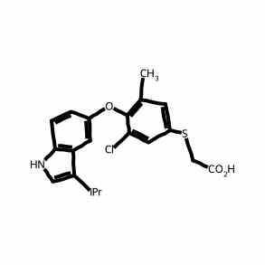 Cc1cc(SCC(=O)O)cc(Cl)c1Oc1ccc2[nH]cc(C(C)C)c2c1